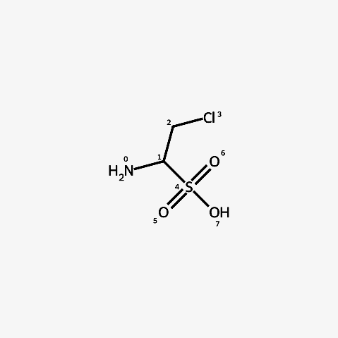 NC(CCl)S(=O)(=O)O